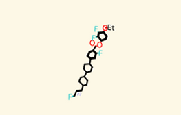 CCOc1ccc(OC(=O)c2ccc(C3CCC(C4CCC(/C=C/CF)CC4)CC3)cc2F)c(F)c1F